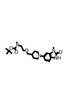 CN(CCOCC1CCN(c2ccc3[nH]c(=O)n(C)c3c2)CC1)C(=O)OC(C)(C)C